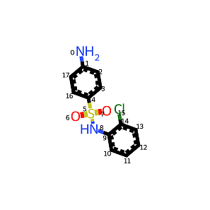 Nc1ccc(S(=O)(=O)Nc2ccccc2Cl)cc1